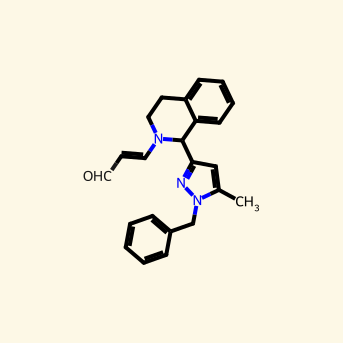 Cc1cc(C2c3ccccc3CCN2C=CC=O)nn1Cc1ccccc1